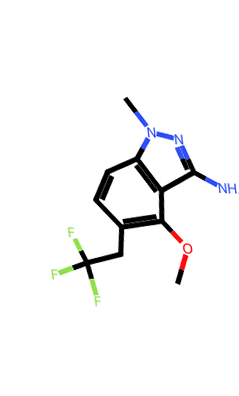 COc1c(CC(F)(F)F)ccc2c1c(N)nn2C